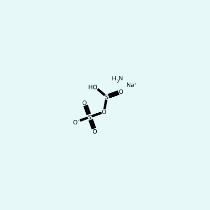 N.O=S(O)OS(=O)(=O)[O-].[Na+]